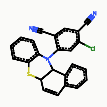 N#Cc1cc(C#N)c(N2c3ccccc3SC3C=Cc4ccccc4C32)cc1Cl